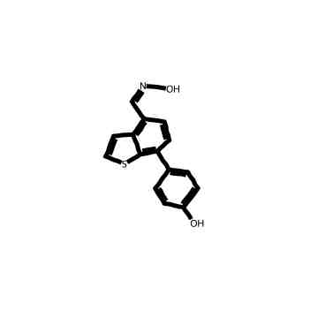 O/N=C\c1ccc(-c2ccc(O)cc2)c2sccc12